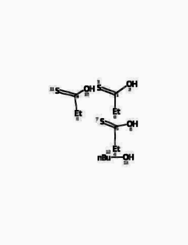 CCC(O)=S.CCC(O)=S.CCC(O)=S.CCCCO